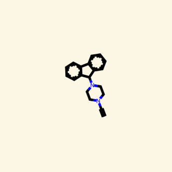 C#CN1CCN(C2c3ccccc3-c3ccccc32)CC1